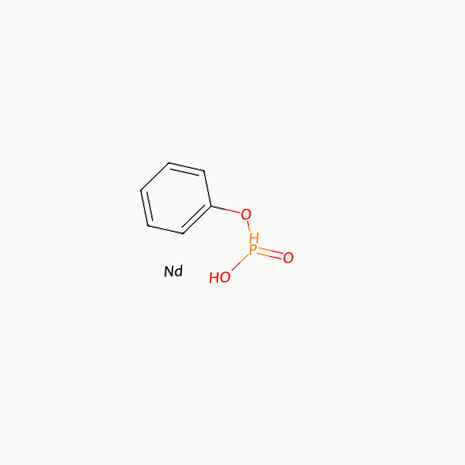 O=[PH](O)Oc1ccccc1.[Nd]